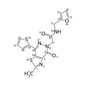 Cc1nc2c(=O)n(CC(=O)NCc3ccco3)nc(-c3cccs3)c2s1